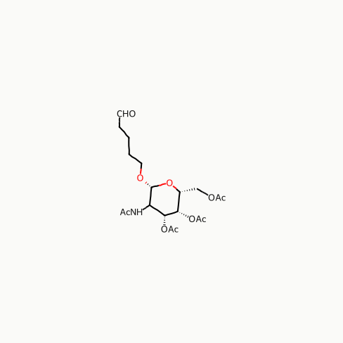 CC(=O)NC1[C@H](OCCCCC=O)O[C@H](COC(C)=O)[C@H](OC(C)=O)[C@@H]1OC(C)=O